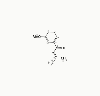 COc1cccc(C(=O)C=C(C)C)c1